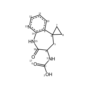 O=C(O)NC1CC2(CC2)c2cccnc2NC1=O